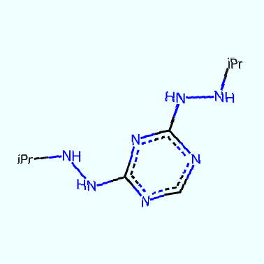 CC(C)NNc1ncnc(NNC(C)C)n1